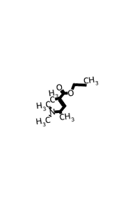 CCCOC(=O)C(C)=CC(C)N(C)C